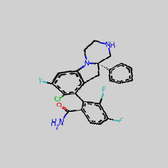 NC(=O)c1ccc(F)c(F)c1-c1c(Cl)c(F)cc2c1C[C@]1(c3ccccc3)CNCCN21